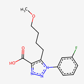 COCCCCc1c(C(=O)O)nnn1-c1cccc(F)c1